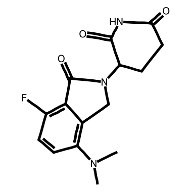 CN(C)c1ccc(F)c2c1CN(C1CCC(=O)NC1=O)C2=O